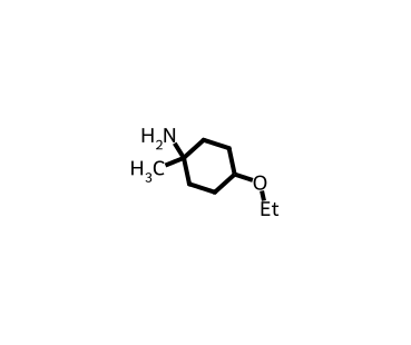 CCOC1CCC(C)(N)CC1